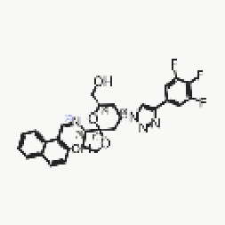 OC[C@H]1C[C@H](n2cc(-c3cc(F)c(F)c(F)c3)nn2)C[C@]2(OCC[C@H]2/N=C\c2c(O)ccc3ccccc23)O1